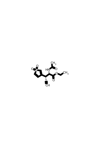 C#C[C@H](C1=CS(=O)(=O)C=C1)[C@H](NC(C)=O)C(=O)OCC